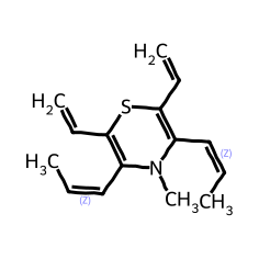 C=CC1=C(/C=C\C)N(C)C(/C=C\C)=C(C=C)S1